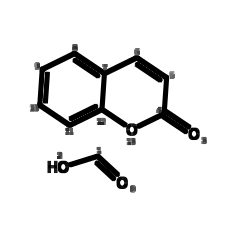 O=CO.O=c1ccc2ccccc2o1